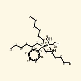 CCCCCCS(CCCCCC)(CCCCCC)(c1ccccc1)=P(O)(O)O